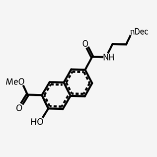 CCCCCCCCCCCCNC(=O)c1ccc2cc(O)c(C(=O)OC)cc2c1